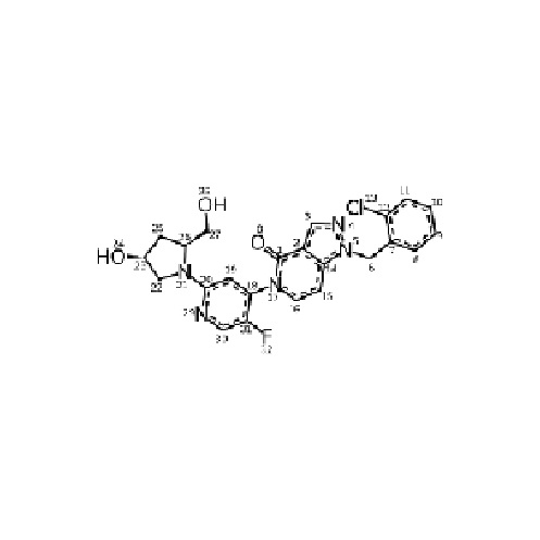 O=c1c2cnn(Cc3ccccc3Cl)c2ccn1-c1cc(N2C[C@@H](O)C[C@H]2CO)ncc1F